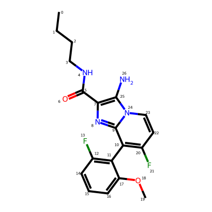 CCCCNC(=O)c1nc2c(-c3c(F)cccc3OC)c(F)ccn2c1N